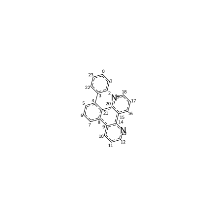 c1ccc(-c2cccc3c4cccnc4c4cccnc4c23)cc1